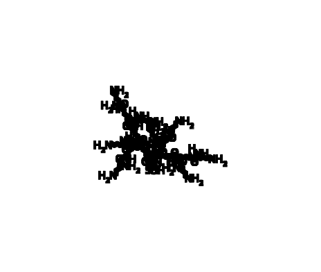 NCCCCC(N)C(=O)NCCCCC(NC(=O)C(N)CCCCN)C(=O)NCCCCC(NC(=O)C(CCCCNC(=O)C(N)CCCCN)NC(=O)C(N)CCCCN)C(=O)NCCCCC(NC(=O)C(CCCCNC(=O)C(CCCCNC(=O)C(N)CCCCN)NC(=O)C(N)CCCCN)NC(=O)C(CCCNC(=O)C(N)CCCCN)NC(=O)C(N)CCCCN)C(=O)NC(CS)C(=O)O